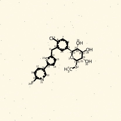 CS[C@H]1O[C@@H](c2ccc(Cl)c(Cc3ccc(-c4ccc(F)nc4)s3)c2)[C@H](O)[C@@H](O)[C@@H]1O